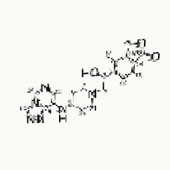 Cc1c(C(O)CN2CCC(Nc3cncn4cnnc34)CC2)ccc2c1COC2=O